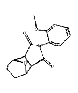 COc1ccccc1N1C(=O)C2C3CCC(O3)C2C1=O